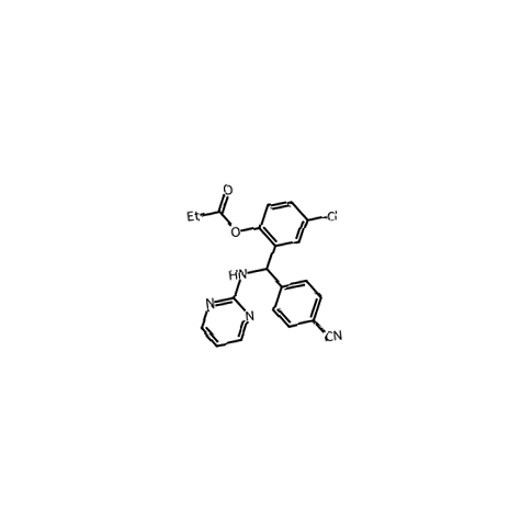 CCC(=O)Oc1ccc(Cl)cc1C(Nc1ncccn1)c1ccc(C#N)cc1